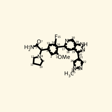 COc1cc(C(C(N)=O)N2CCCC2)cc(F)c1-c1cc2c(-c3cnn(C)c3)n[nH]c2cn1